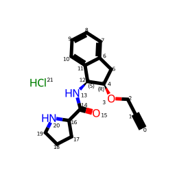 C#CCO[C@@H]1Cc2ccccc2[C@@H]1NC(=O)C1CCCN1.Cl